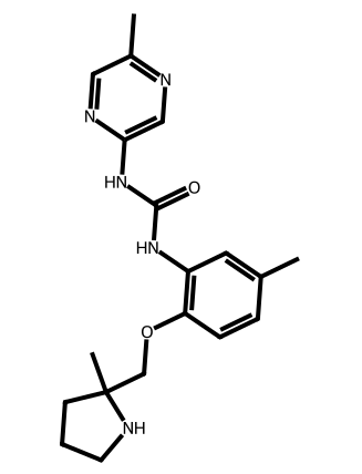 Cc1ccc(OCC2(C)CCCN2)c(NC(=O)Nc2cnc(C)cn2)c1